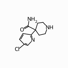 NC(=O)C1(c2ccc(Cl)cn2)CCNCC1